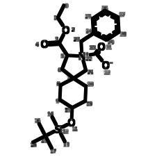 CCOC(=O)C1CC2(CCC(O[Si](C)(C)C(C)(C)C)CC2)C[N+]1(Cc1ccccc1)C(=O)[O-]